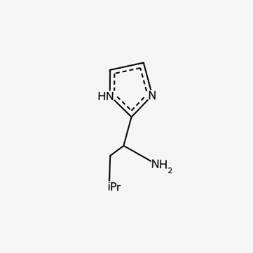 CC(C)CC(N)c1ncc[nH]1